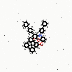 c1ccc(-c2ccc(-c3cccc(N(c4ccc(-c5ccccc5)cc4)c4cccc5c4Oc4c(ccc6c4-c4ccccc4C64c6ccccc6-c6ccccc64)O5)c3)cc2)cc1